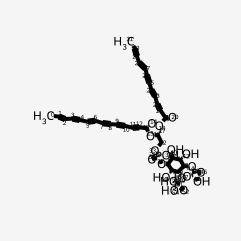 CC#CC#CC#CC#CC#CC#CC(=O)O[C@H](COC(=O)C#CC#CC#CC#CC#CC)COP(=O)(O)OC1C(O)[C@@H](O)C(OP(=O)(O)O)[C@@H](OP(=O)(O)O)[C@H]1O